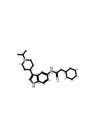 CC(C)N1CCC(c2c[nH]c3ccc(NC(=O)CC4CCCCC4)cc23)CC1